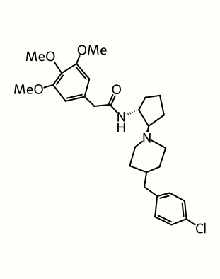 COc1cc(CC(=O)N[C@@H]2CCC[C@H]2N2CCC(Cc3ccc(Cl)cc3)CC2)cc(OC)c1OC